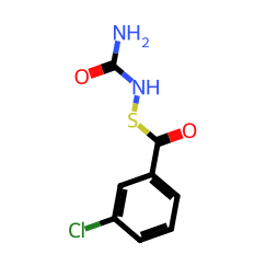 NC(=O)NSC(=O)c1cccc(Cl)c1